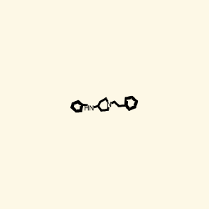 c1ccc(CCN2CCC(NCc3ccccc3)CC2)cc1